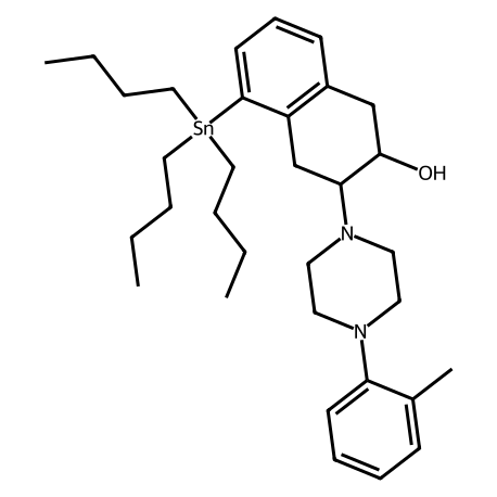 CCC[CH2][Sn]([CH2]CCC)([CH2]CCC)[c]1cccc2c1CC(N1CCN(c3ccccc3C)CC1)C(O)C2